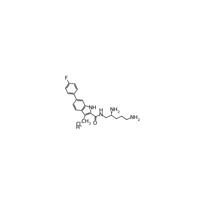 Cc1c(C(=O)NC[C@@H](N)CCCN)[nH]c2cc(-c3ccc(F)cc3)ccc12.[Cl-].[H+]